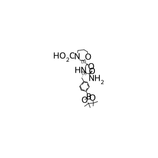 CC1(C)OB(c2ccc(C[C@H](NC(=O)[C@@H]3CN(C(=O)O)CCCO3)C(N)=O)cc2)OC1(C)C